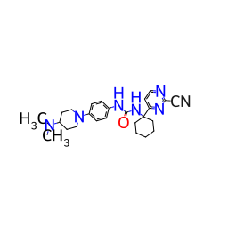 CN(C)C1CCN(c2ccc(NC(=O)NC3(c4ccnc(C#N)n4)CCCCC3)cc2)CC1